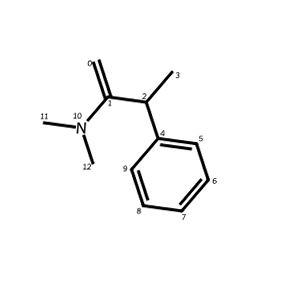 C=C(C(C)c1ccccc1)N(C)C